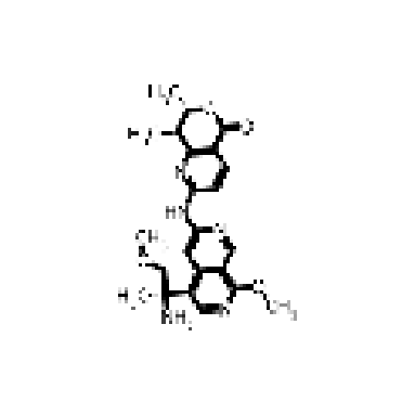 COC[C@](C)(N)c1cnc(OC)c2cnc(Nc3ccc4c(n3)[C@@H](C)[C@H](C)OC4=O)cc12